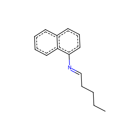 CCCCC=Nc1cccc2ccccc12